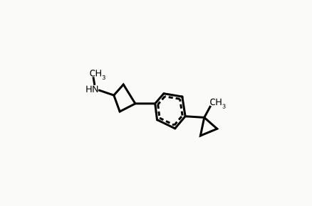 CNC1CC(c2ccc(C3(C)CC3)cc2)C1